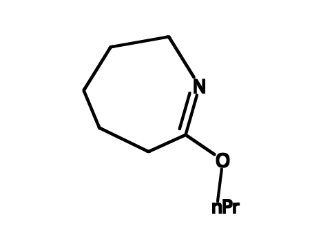 CCCOC1=NCCCCC1